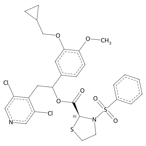 COc1ccc(C(Cc2c(Cl)cncc2Cl)OC(=O)[C@@H]2SCCN2S(=O)(=O)c2ccccc2)cc1OCC1CC1